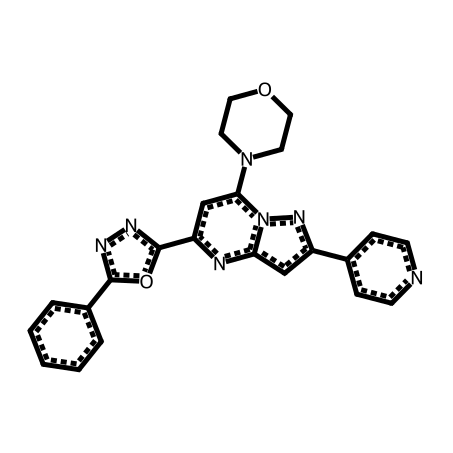 c1ccc(-c2nnc(-c3cc(N4CCOCC4)n4nc(-c5ccncc5)cc4n3)o2)cc1